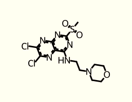 CS(=O)(=O)c1nc(NCCN2CCOCC2)c2nc(Cl)c(Cl)nc2n1